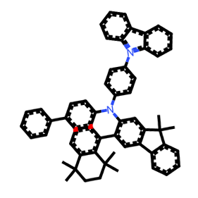 CC1(C)CCC(C)(C)c2c(-c3cc4c(cc3N(c3ccc(-c5ccccc5)cc3)c3ccc(-n5c6ccccc6c6ccccc65)cc3)C(C)(C)c3ccccc3-4)cccc21